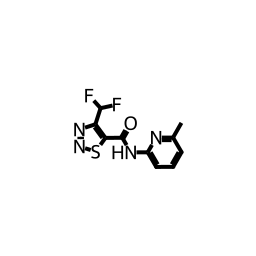 Cc1cccc(NC(=O)c2snnc2C(F)F)n1